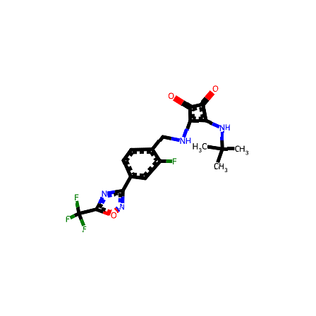 CC(C)(C)Nc1c(NCc2ccc(-c3noc(C(F)(F)F)n3)cc2F)c(=O)c1=O